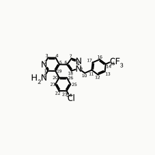 Nc1nccc(-c2cnn(Cc3ccc(C(F)(F)F)cc3)c2)c1-c1ccc(Cl)cc1